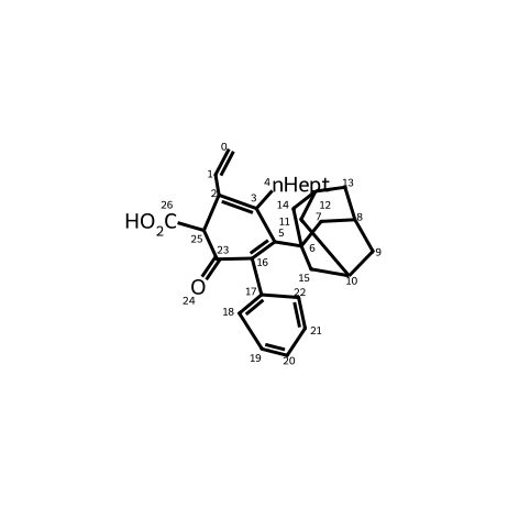 C=CC1=C(CCCCCCC)C(C23CC4CC(CC(C4)C2)C3)=C(c2ccccc2)C(=O)C1C(=O)O